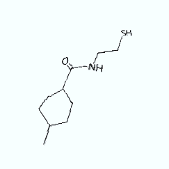 CC1CCC(C(=O)NCCS)CC1